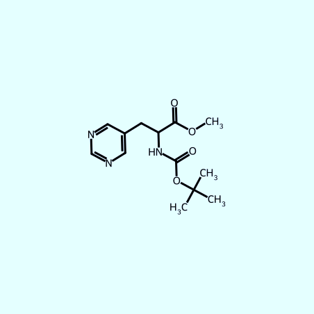 COC(=O)C(Cc1cncnc1)NC(=O)OC(C)(C)C